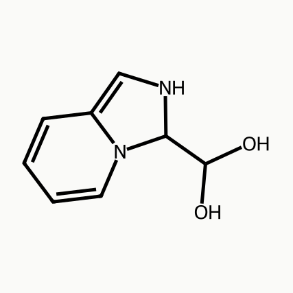 OC(O)C1NC=C2C=CC=CN21